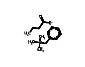 CCCC(=O)[O-].C[N+](C)(C)Cc1ccccc1